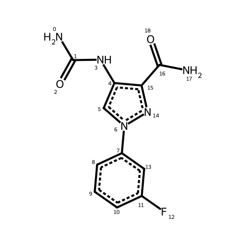 NC(=O)Nc1cn(-c2cccc(F)c2)nc1C(N)=O